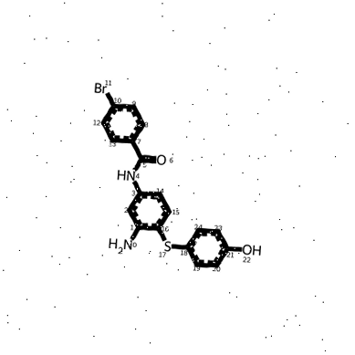 Nc1cc(NC(=O)c2ccc(Br)cc2)ccc1Sc1ccc(O)cc1